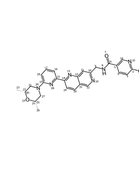 COc1ccc(C(=O)NCc2cc3nc(-c4cccc(N5C[C@@H](C)O[C@@H](C)C5)n4)ccc3cn2)cn1